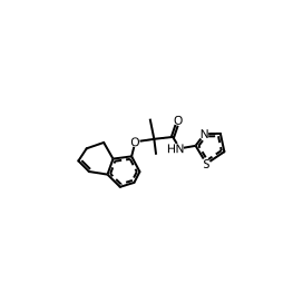 CC(C)(Oc1cccc2c1CCC=C2)C(=O)Nc1nccs1